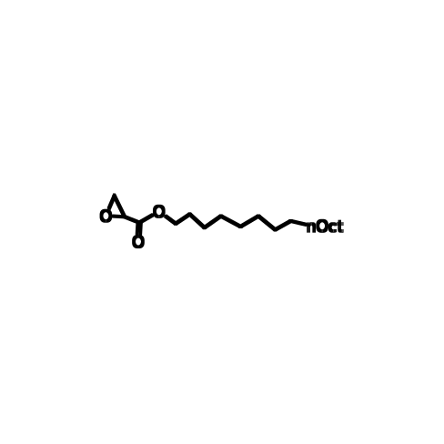 CCCCCCCCCCCCCCCCOC(=O)C1CO1